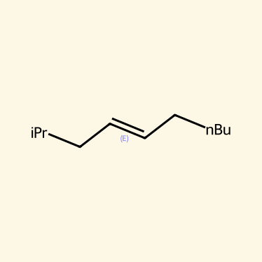 CCCCC/C=C/CC(C)C